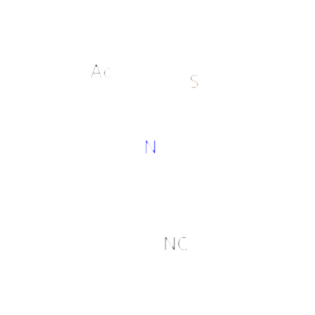 CC(=O)c1nc(CC#N)cs1